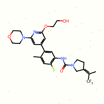 C/C(=C1\CCN(C(=O)Nc2cc(-c3cc(OCCO)nc(N4CCOCC4)c3)c(C)cc2F)C1)C(F)(F)F